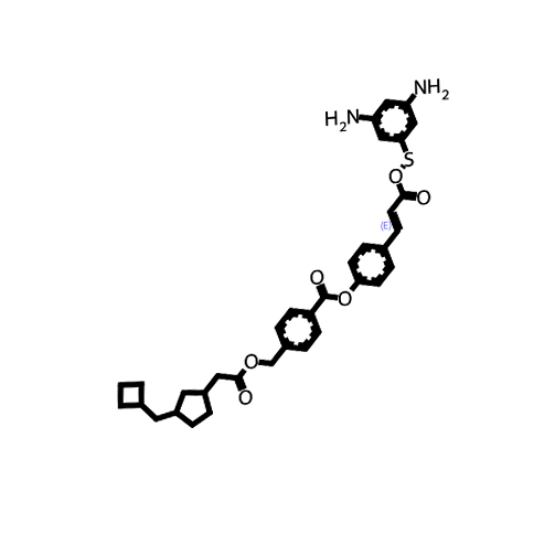 Nc1cc(N)cc(SOC(=O)/C=C/c2ccc(OC(=O)c3ccc(COC(=O)CC4CCC(CC5CCC5)C4)cc3)cc2)c1